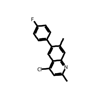 Cc1cc(Cl)c2cc(-c3ccc(F)cc3)c(C)cc2n1